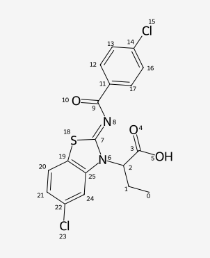 CCC(C(=O)O)n1c(=NC(=O)c2ccc(Cl)cc2)sc2ccc(Cl)cc21